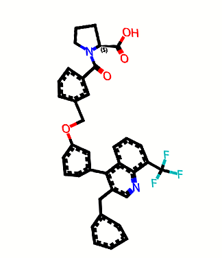 O=C(O)[C@@H]1CCCN1C(=O)c1cccc(COc2cccc(-c3c(Cc4ccccc4)cnc4c(C(F)(F)F)cccc34)c2)c1